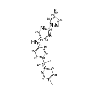 Cc1ccc(C(C)(C)c2ccc(Nc3cnc(-n4cc(F)cn4)nc3)cc2)cc1